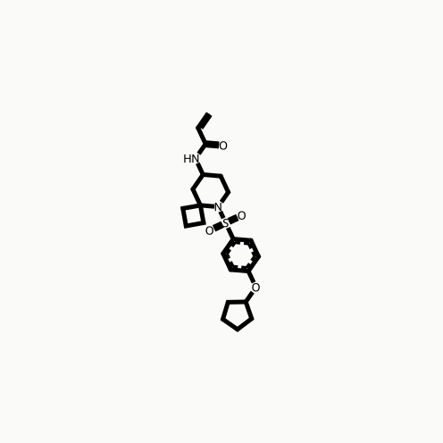 C=CC(=O)NC1CCN(S(=O)(=O)c2ccc(OC3CCCC3)cc2)C2(CCC2)C1